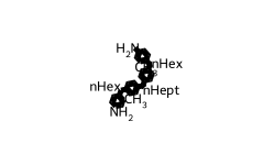 CCCCCCCC(c1ccc(C(CCCCCC)c2ccc(N)cc2C)cc1)c1ccc(C(CCCCCC)c2ccc(N)cc2C)cc1